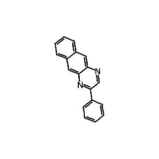 c1ccc(-c2cnc3cc4ccccc4cc3n2)cc1